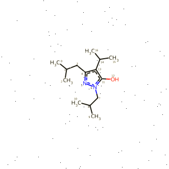 CC(C)Cc1nn(CC(C)C)c(O)c1C(C)C